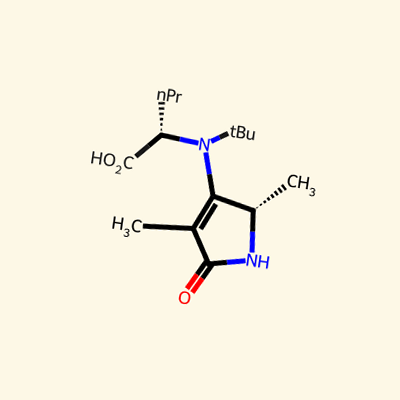 CCC[C@@H](C(=O)O)N(C1=C(C)C(=O)N[C@H]1C)C(C)(C)C